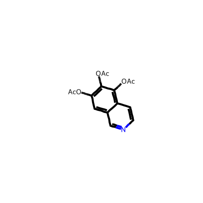 CC(=O)Oc1cc2cnccc2c(OC(C)=O)c1OC(C)=O